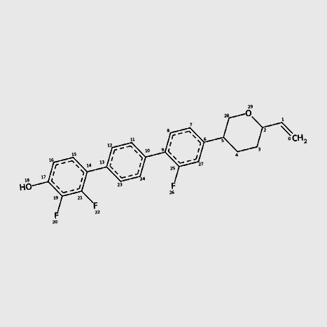 C=CC1CCC(c2ccc(-c3ccc(-c4ccc(O)c(F)c4F)cc3)c(F)c2)CO1